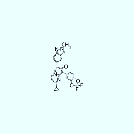 Cn1cc2cc(-c3cn4ccc(C5CC5)nc4c(-c4ccc5c(c4)OC(F)(F)O5)c3=O)ccc2n1